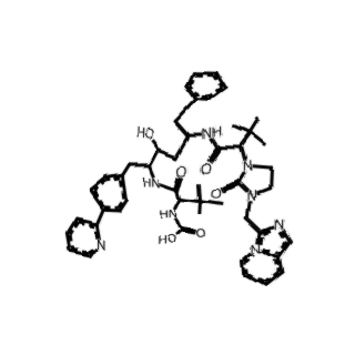 CC(C)(C)C(NC(=O)O)C(=O)NC(Cc1ccc(-c2ccccn2)cc1)C(O)CC(Cc1ccccc1)NC(=O)C(N1CCN(Cc2ncc3ccccn23)C1=O)C(C)(C)C